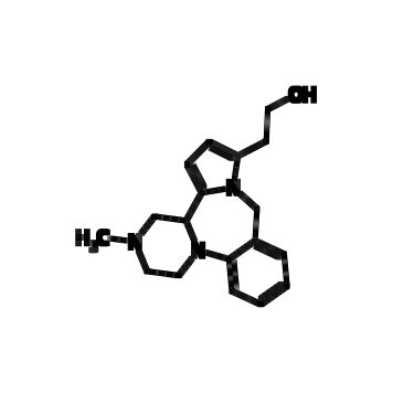 CN1CCN2c3ccccc3Cn3c(CCO)ccc3C2C1